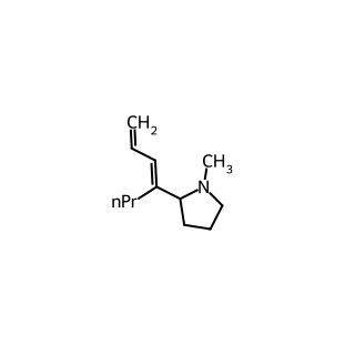 C=C/C=C(\CCC)C1CCCN1C